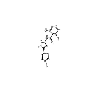 O=C(Nc1cc(-c2ccc(F)cc2)on1)c1c(Cl)cccc1Cl